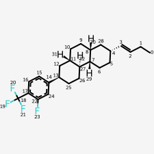 CCC=C[C@@H]1CC[C@H]2[C@H](CC[C@H]3C[C@H](c4ccc(C(F)(F)F)c(F)c4)CC[C@@H]32)C1